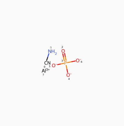 N#CN.O=P([O-])([O-])[O-].[Al+3]